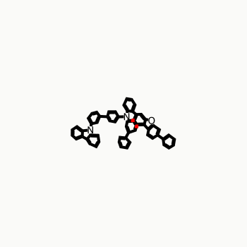 c1ccc(-c2cccc(N(c3ccc(-c4cccc(-n5c6ccccc6c6ccccc65)c4)cc3)c3ccccc3-c3ccc4c(c3)oc3cc(-c5ccccc5)ccc34)c2)cc1